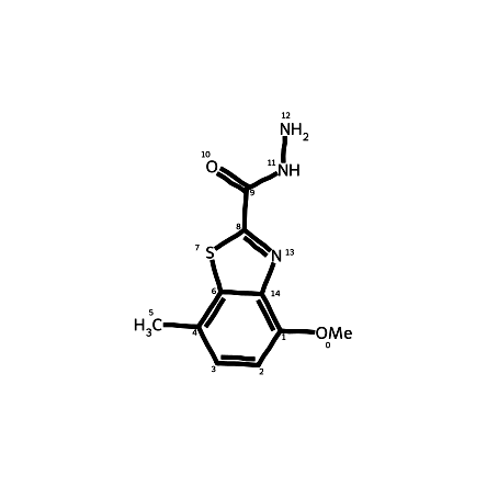 COc1ccc(C)c2sc(C(=O)NN)nc12